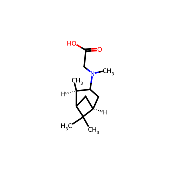 C[C@H]1C(N(C)CC(=O)O)C[C@@H]2CC1C2(C)C